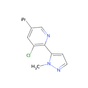 CC(C)c1cnc(-c2ccnn2C)c(Cl)c1